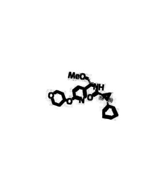 COC[C@H](NC(=O)[C@H]1C[C@@H]1c1ccccc1)c1ccc(OC2CCOCC2)nc1